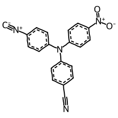 [C-]#[N+]c1ccc(N(c2ccc(C#N)cc2)c2ccc([N+](=O)[O-])cc2)cc1